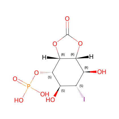 O=C1O[C@@H]2[C@H](O1)[C@@H](O)[C@H](I)[C@@H](O)[C@@H]2OP(=O)(O)O